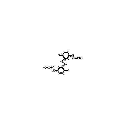 Cc1ccc(ON=C=O)cc1SSc1cc(ON=C=O)ccc1C